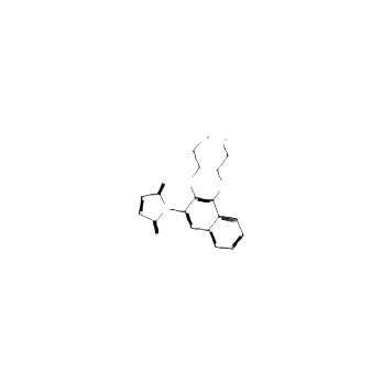 O=C1C=CC(=O)N1c1cc2ccccc2c(SCCO)c1SCCO